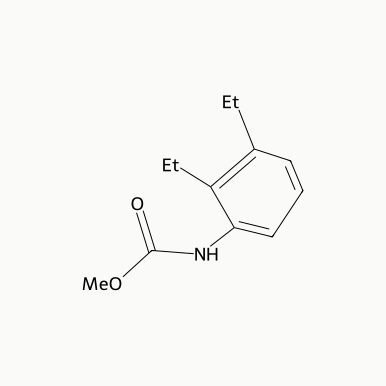 CCc1cccc(NC(=O)OC)c1CC